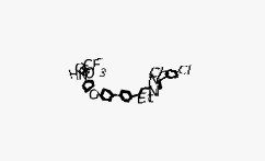 CCn1cc(-c2ccc(Cl)cc2Cl)nc1/C=C/c1ccc(-c2ccc(Oc3ccc(NS(=O)(=O)C(F)(F)F)cc3)cc2)cc1